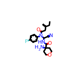 C=C(CC)CC(=O)N(c1ccc(F)cc1)C(C#N)NC(=O)C1(N)CCOCC1